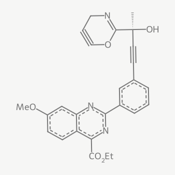 CCOC(=O)c1nc(-c2cccc(C#C[C@](C)(O)C3=NCC#CO3)c2)nc2cc(OC)ccc12